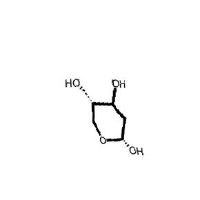 OC1C[C@H](O)OC[C@@H]1O